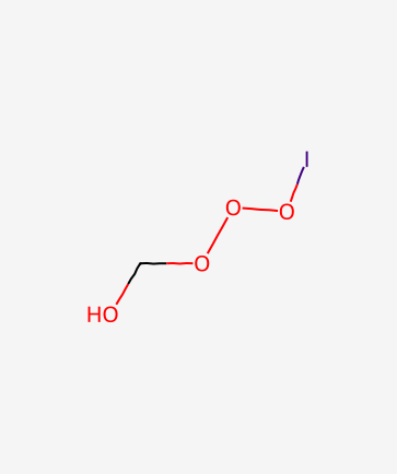 OCOOOI